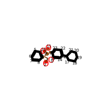 O=S(=O)(c1ccccc1)S(=O)(=O)c1ccc(C2CCCCC2)cc1